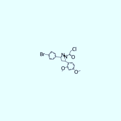 COc1ccc(C2CC(c3ccc(Br)cc3)=NN2C(=O)CCl)c(OC)c1